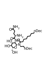 CCCCCCCCCCCCCCCCCC(=O)N(CCCCCCCCCCCC)[C@@H]1O[C@H](CO)[C@@H](O)[C@H](O)[C@H]1NC(=O)[C@@H](N)CCC(N)=O